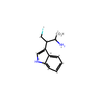 NC(C(=O)O)C(CF)c1c[nH]c2ccccc12